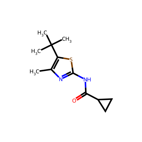 Cc1nc(NC(=O)C2CC2)sc1C(C)(C)C